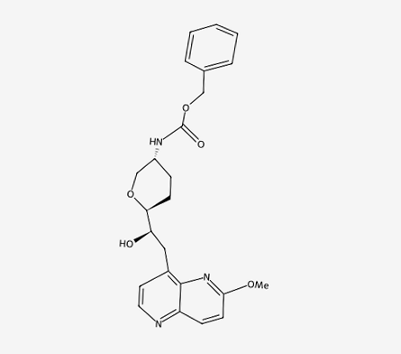 COc1ccc2nccc(C[C@@H](O)[C@@H]3CC[C@@H](NC(=O)OCc4ccccc4)CO3)c2n1